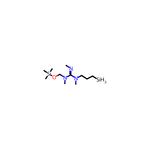 CN=C(N(C)CCC[SiH3])N(C)CO[Si](C)(C)C